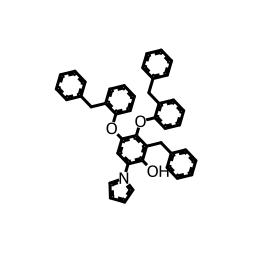 Oc1c(-n2cccc2)cc(Oc2ccccc2Cc2ccccc2)c(Oc2ccccc2Cc2ccccc2)c1Cc1ccccc1